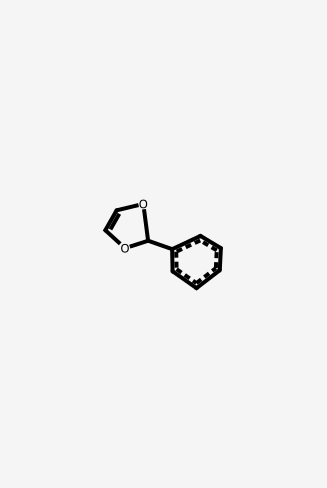 C1=COC(c2ccccc2)O1